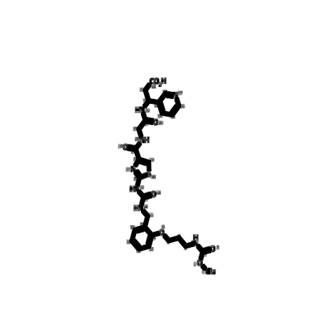 CC(C)(C)OC(=O)NCCCOc1ccccc1CNC(=O)Nc1nc(C(=O)NCC(=O)NC(CC(=O)O)c2cccnc2)cs1